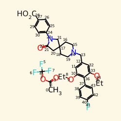 CC(=O)OC(F)(F)F.CCOc1cc(CN2CCC3(CC2)CC(=O)N(c2ccc(C(=O)O)cc2)C3)cc(OCC)c1-c1ccc(F)cc1